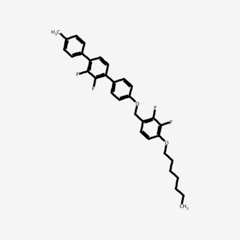 CCCCCCCOc1ccc(COc2ccc(-c3ccc(-c4ccc(C)cc4)c(F)c3F)cc2)c(F)c1F